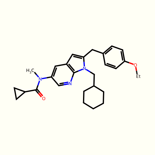 CCOc1ccc(Cc2cc3cc(N(C)C(=O)C4CC4)cnc3n2CC2CCCCC2)cc1